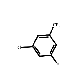 Fc1cc(Cl)[c]c(C(F)(F)F)c1